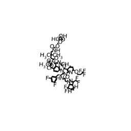 Cn1nc(N(C(=O)CC(C)(C)CNC(=O)OCOP(=O)(O)O)S(C)(=O)=O)c2c(Cl)ccc(-n3c([C@H](Cc4cc(F)cc(F)c4)NC(=O)Cn4nc(C(F)F)c5c4C(F)(F)[C@@H]4C[C@H]54)nc4nc(OCCC(F)(F)F)ccc4c3=O)c21